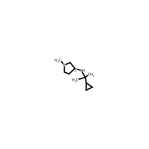 CN1CC[C@H](NC(C)(C)C2CC2)C1